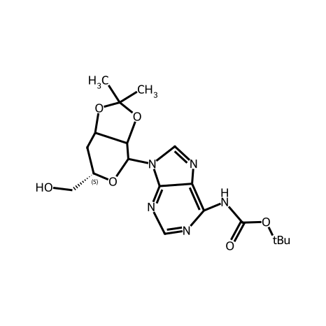 CC(C)(C)OC(=O)Nc1ncnc2c1ncn2C1O[C@H](CO)CC2OC(C)(C)OC21